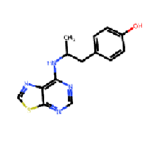 CC(Cc1ccc(O)cc1)Nc1ncnc2scnc12